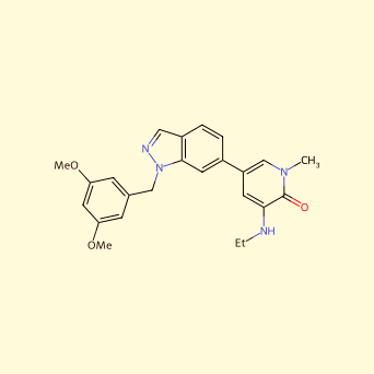 CCNc1cc(-c2ccc3cnn(Cc4cc(OC)cc(OC)c4)c3c2)cn(C)c1=O